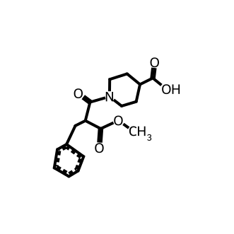 COC(=O)C(Cc1ccccc1)C(=O)N1CCC(C(=O)O)CC1